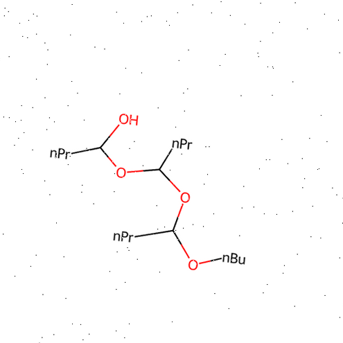 CCCCOC(CCC)OC(CCC)OC(O)CCC